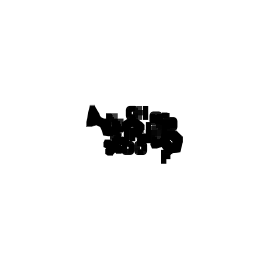 CC(C)(C)[C@@H](C(=O)N1C[C@H](O)C[C@H]1C(=O)NCc1c(F)cccc1NS(C)(=O)=O)n1cc(C2CC2)nn1